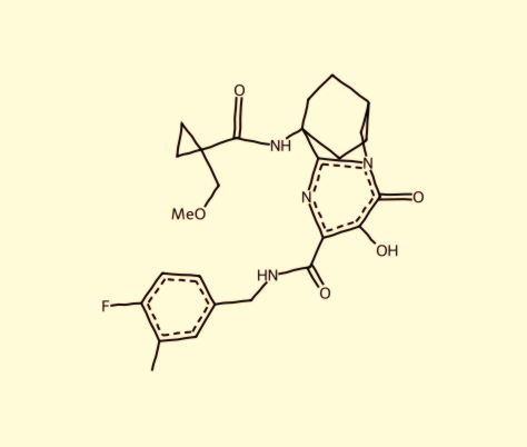 COCC1(C(=O)NC23CCC(CC2)Cn2c3nc(C(=O)NCc3ccc(F)c(C)c3)c(O)c2=O)CC1